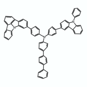 c1ccc(-c2ccc(-c3ccc(N(c4ccc(-c5ccc6c(c5)c5ccccc5n6-c5ccccc5)cc4)c4ccc(-c5ccc6c7cccc8c9ccccc9n(c6c5)c87)cc4)cc3)cc2)cc1